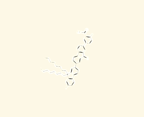 CCCCCCCCC1(CCCCCCCC)c2cc(C)ccc2-c2ccc(-c3ccc4c(c3)C(=O)c3cc(-c5ccc(C)c(C(=O)O)c5)ccc3-4)cc21